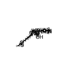 CCCC(=O)OCCCCCCCCCC(=O)N[C@H](C(=O)N1C[C@H](O)C[C@H]1C(=O)N[C@H](C)c1ccc(-c2scnc2C)cc1)C(C)(C)C